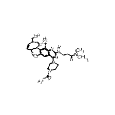 CC(=O)N1CCN(c2nc(NCCC(=O)N(C)C)nc3c(F)c(C4=C(F)C=CC(CO)C[C@@H]4C)c(Cl)cc23)CC1